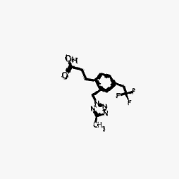 Cc1nnn(Cc2cc(CC(F)(F)F)ccc2CCC(=O)O)n1